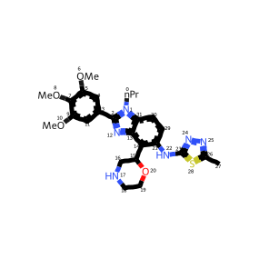 CCCn1c(-c2cc(OC)c(OC)c(OC)c2)nc2c(C3CNCCO3)c(Nc3nnc(C)s3)ccc21